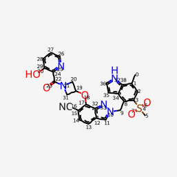 Cc1cc(S(C)(=O)=O)c(Cn2cc3ccc(C#N)c(OC4CN(C(=O)c5ncccc5O)C4)c3n2)c2cc[nH]c12